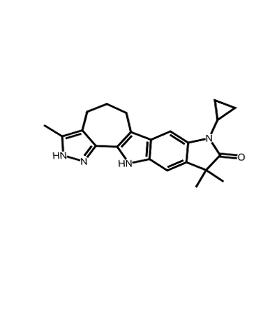 Cc1[nH]nc2c1CCCc1c-2[nH]c2cc3c(cc12)N(C1CC1)C(=O)C3(C)C